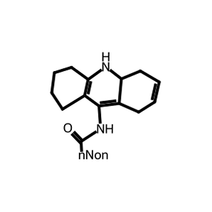 CCCCCCCCCC(=O)NC1=C2CC=CCC2NC2=C1CCCC2